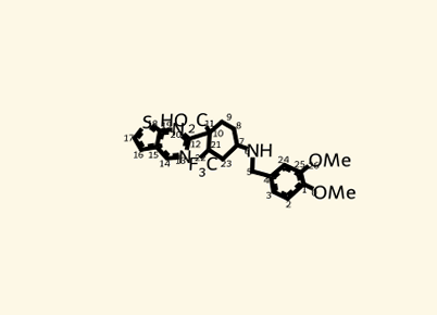 COc1ccc(CNC2CCC(C(=O)O)(c3ncc4ccsc4n3)C(C(F)(F)F)C2)cc1OC